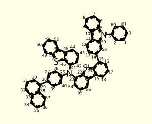 c1ccc(-n2c3ccccc3c3ccc(-c4cccc5c4sc4c(N(c6ccc(-c7cccc8ccccc78)cc6)c6cccc7c6sc6ccccc67)cccc45)cc32)cc1